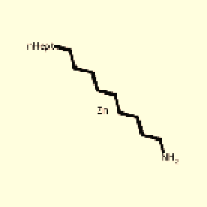 CCCCCCCCCCCCCCCCN.[Zn]